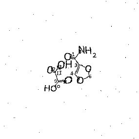 NC(=O)C1=COCO1.O=C(O)C(=O)O